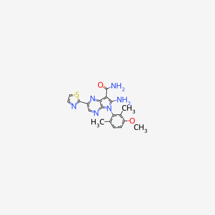 COc1ccc(C)c(-n2c(N)c(C(N)=O)c3nc(-c4nccs4)cnc32)c1C